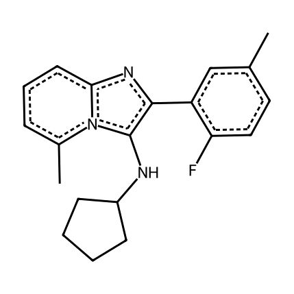 Cc1ccc(F)c(-c2nc3cccc(C)n3c2NC2CCCC2)c1